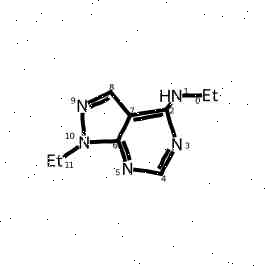 CCNc1ncnc2c1cnn2CC